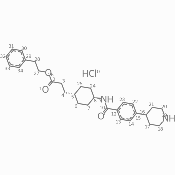 Cl.O=C(CC[C@H]1CC[C@H](NC(=O)c2ccc(C3CCNCC3)cc2)CC1)OCCc1ccccc1